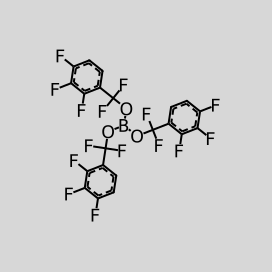 Fc1ccc(C(F)(F)OB(OC(F)(F)c2ccc(F)c(F)c2F)OC(F)(F)c2ccc(F)c(F)c2F)c(F)c1F